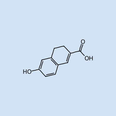 O=C(O)C1=Cc2ccc(O)cc2CC1